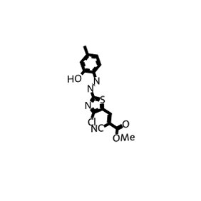 COC(=O)/C(C#N)=C/c1sc(/N=N/c2ccc(C)cc2O)nc1Cl